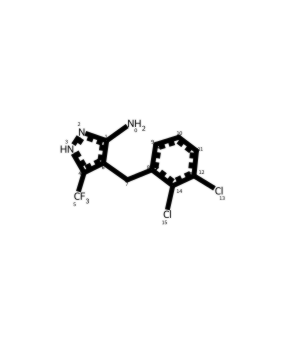 Nc1n[nH]c(C(F)(F)F)c1Cc1cccc(Cl)c1Cl